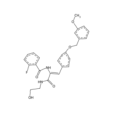 COc1cccc(COc2ccc(/C=C(\NC(=O)c3ccccc3F)C(=O)NCCO)cc2)c1